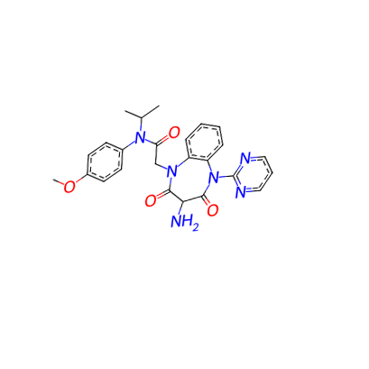 COc1ccc(N(C(=O)CN2C(=O)C(N)C(=O)N(c3ncccn3)c3ccccc32)C(C)C)cc1